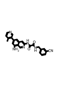 Cc1ccncc1-c1cc(N)c2cnc(NC(=O)C(=O)NCc3cccc(C#N)c3)cc2c1